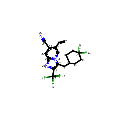 C=Cc1cn2c(CC3CCC(F)(F)CC3)c(C(F)(F)F)nc2cc1C#N